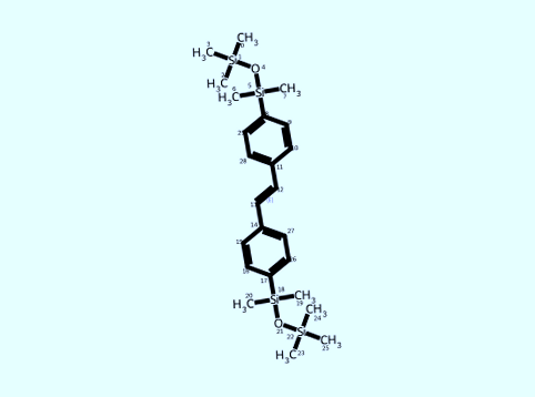 C[Si](C)(C)O[Si](C)(C)c1ccc(/C=C/c2ccc([Si](C)(C)O[Si](C)(C)C)cc2)cc1